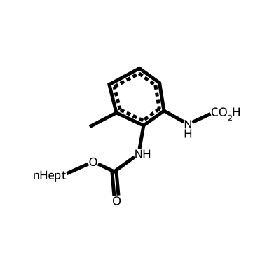 CCCCCCCOC(=O)Nc1c(C)cccc1NC(=O)O